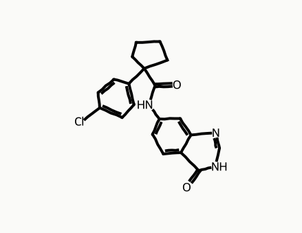 O=C(Nc1ccc2c(=O)[nH]cnc2c1)C1(c2ccc(Cl)cc2)CCCC1